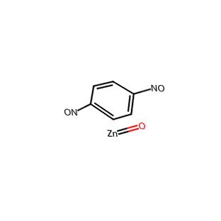 O=Nc1ccc(N=O)cc1.[O]=[Zn]